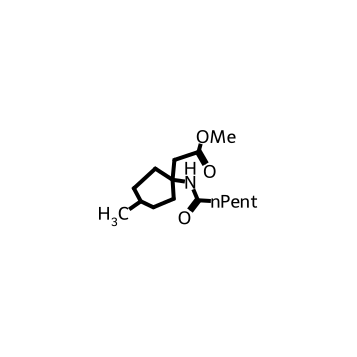 CCCCCC(=O)NC1(CC(=O)OC)CCC(C)CC1